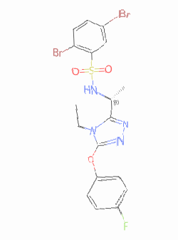 CCn1c(Oc2ccc(F)cc2)nnc1[C@@H](C)NS(=O)(=O)c1cc(Br)ccc1Br